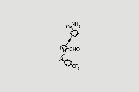 CN(CCn1ncc(C#Cc2cccc(C(N)=O)c2)c1C=O)c1ccc(C(F)(F)F)cc1